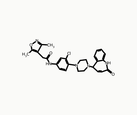 Cc1noc(C)c1CC(=O)Nc1ccc(N2CCN(C3C=CC(=O)Nc4ccccc43)CC2)c(Cl)c1